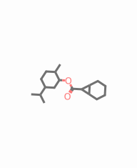 CC(C)C1CCC(C)C(OC(=O)C2C3CCCCC32)C1